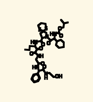 CCCC(NC(=O)C1CC2(CN1C(=O)C(NC(=O)OCC(C)C)C1CCCCC1)SCCCS2)C(=O)C(=O)NCC(=O)NC(C(=O)NCCO)c1ccccc1